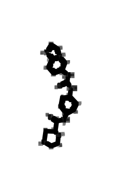 O=C(Nc1ccc(NC(=O)C2COCCO2)cc1)Nc1ccc2nccn2c1